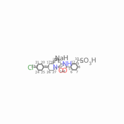 CC(C)C(NC(=O)c1cccc(CS(=O)(=O)O)c1)C(=O)N1CCC(c2ccc(Cl)cc2)CC1.[NaH]